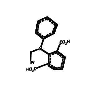 CC(C)CN(c1ccccc1)c1c(C(=O)O)cccc1C(=O)O